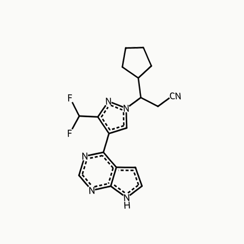 N#CCC(C1CCCC1)n1cc(-c2ncnc3[nH]ccc23)c(C(F)F)n1